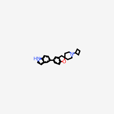 c1cc2cc(-c3ccc4c(c3)CC3(CCN(C5CCC5)CC3)O4)ccc2[nH]1